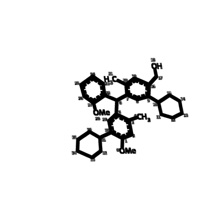 COc1cc(C)c(C(c2cc(C3CCCCC3)c(CO)cc2C)c2ccccc2OC)cc1C1CCCCC1